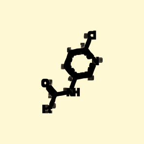 CCC(=O)Nc1ccc(Cl)nc1